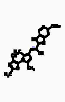 COc1cc2nc(/C(C#N)=C/c3cc(C)n(-c4oc(C)nc4C#N)c3C)[nH]c2cn1